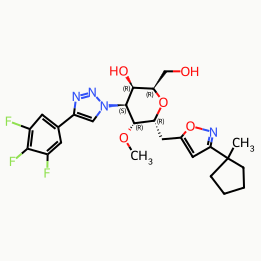 CO[C@@H]1[C@@H](n2cc(-c3cc(F)c(F)c(F)c3)nn2)[C@@H](O)[C@@H](CO)O[C@@H]1Cc1cc(C2(C)CCCC2)no1